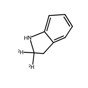 [2H]C1([2H])Cc2ccccc2N1